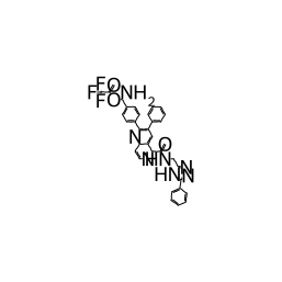 NC(OC(=O)C(F)(F)F)c1ccc(-c2nc3ccnc(C(=O)NCc4nnc(-c5ccccc5)[nH]4)c3cc2-c2ccccc2)cc1